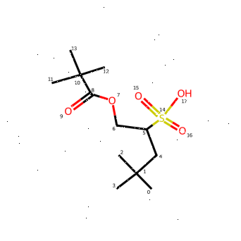 CC(C)(C)CC(COC(=O)C(C)(C)C)S(=O)(=O)O